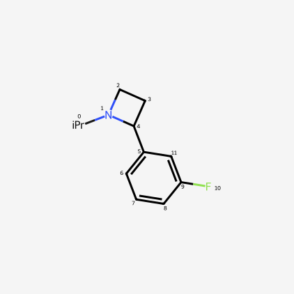 CC(C)N1CCC1c1cccc(F)c1